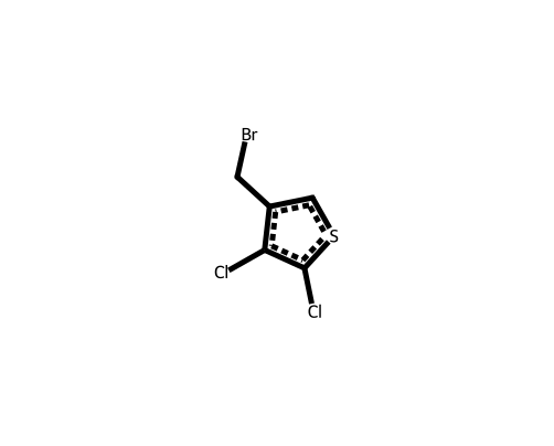 Clc1scc(CBr)c1Cl